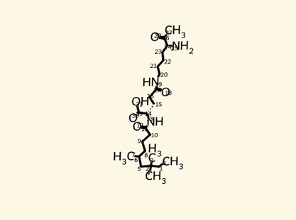 CCC(C)(C)CC(C)CCCC(=O)N[C@@H](CCC(=O)NCCCC[C@H](N)C(C)=O)C(=O)O